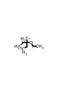 C[CH]OC(C)(CC)CC